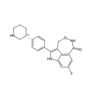 O=C1NOCc2c(-c3ccc([C@H]4CCCNC4)cc3)[nH]c3cc(F)cc1c23